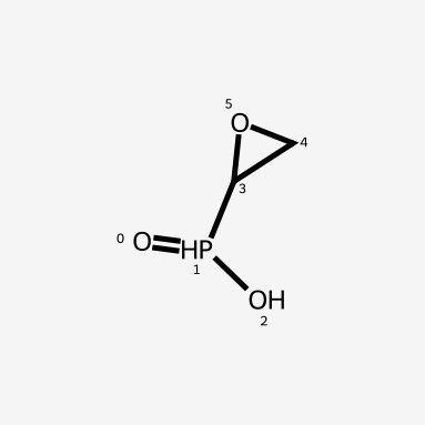 O=[PH](O)C1CO1